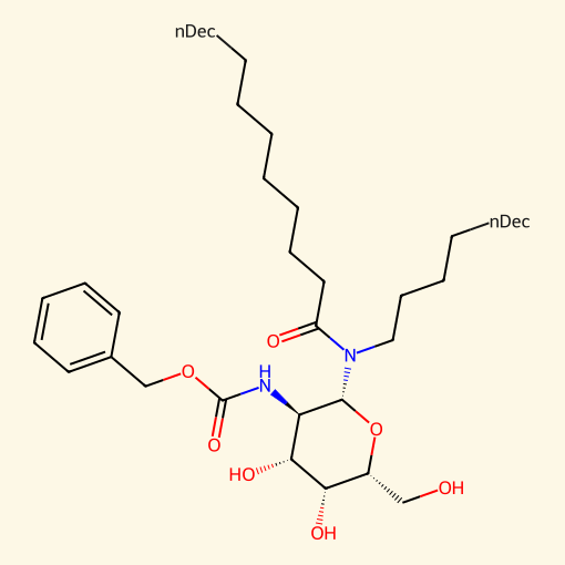 CCCCCCCCCCCCCCCCCC(=O)N(CCCCCCCCCCCCCC)[C@@H]1O[C@H](CO)[C@H](O)[C@H](O)[C@H]1NC(=O)OCc1ccccc1